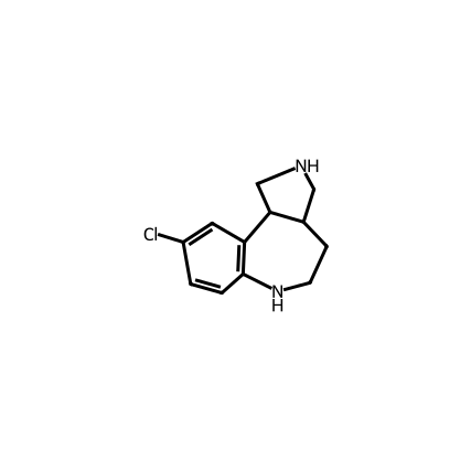 Clc1ccc2c(c1)C1CNCC1CCN2